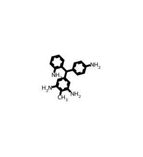 Cc1c(N)cc(C(c2ccc(N)cc2)c2ccccc2N)cc1N